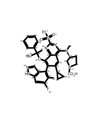 CCS(=O)(=O)c1nc(N(C)[C@H]2CCN(C(=O)O)C2)c2cc(C3CC3)c(-c3c(C)c(F)cc4[nH]ncc34)c(OC(C)(c3ccccc3)C(C)(C)C)c2n1